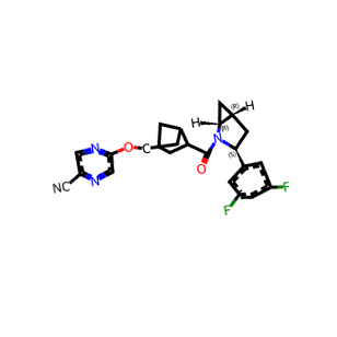 N#Cc1cnc(OCC23CC(C2)C(C(=O)N2[C@@H]4C[C@@H]4C[C@H]2c2cc(F)cc(F)c2)C3)cn1